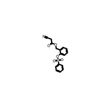 N#CCC(=O)OCc1ccccc1OS(=O)(=O)c1ccccc1